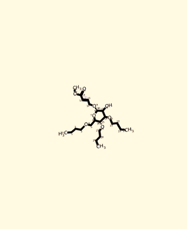 CCCCOCC1O[C@@H](OC/C=C/C(=O)OC)C(O)C(OCCCC)[C@@H]1OCCCC